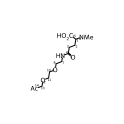 CNC(CCC(=O)NCCOCCOCC(C)=O)C(=O)O